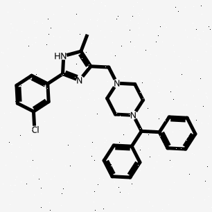 Cc1[nH]c(-c2cccc(Cl)c2)nc1CN1CCN(C(c2ccccc2)c2ccccc2)CC1